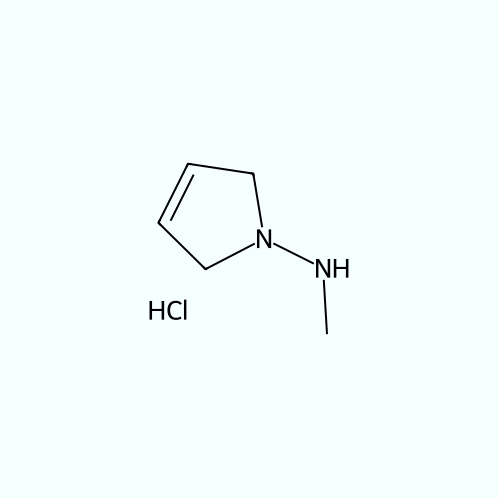 CNN1CC=CC1.Cl